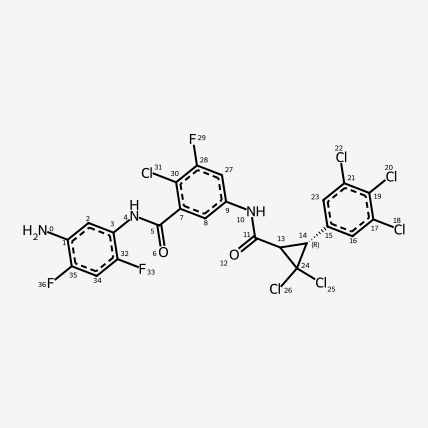 Nc1cc(NC(=O)c2cc(NC(=O)C3[C@H](c4cc(Cl)c(Cl)c(Cl)c4)C3(Cl)Cl)cc(F)c2Cl)c(F)cc1F